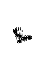 Cc1cc(C2NC(C(=O)Nc3cc4oc(N5CCOCC5)nc4nc3-c3ccoc3)=CO2)ccn1